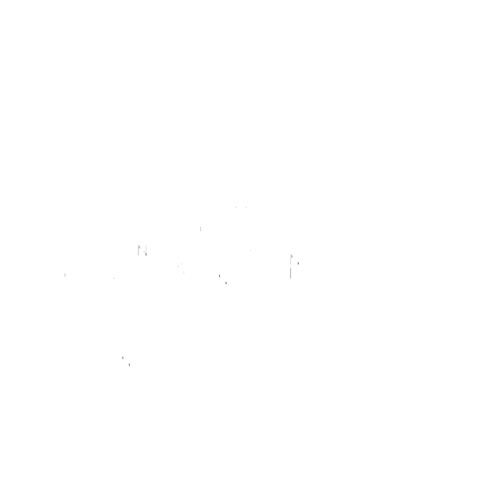 O=C(Nc1c2c(cc3c1CCC3)CCC2)NS1(=O)=NC(=O)C2N=CSC21